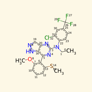 CCN(c1nc(-c2c(OC)cccc2SC)c2[nH]ncc2n1)c1ccc(C(F)(F)F)cc1Cl